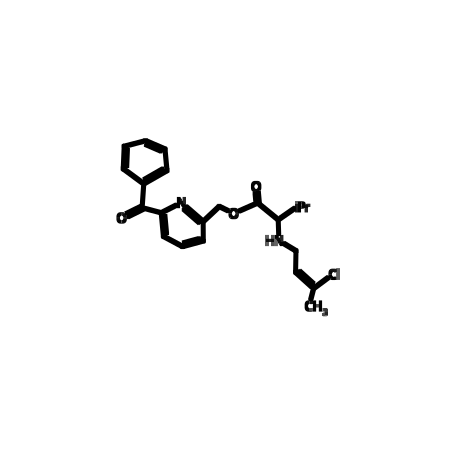 CC(Cl)=CCNC(C(=O)OCc1cccc(C(=O)c2ccccc2)n1)C(C)C